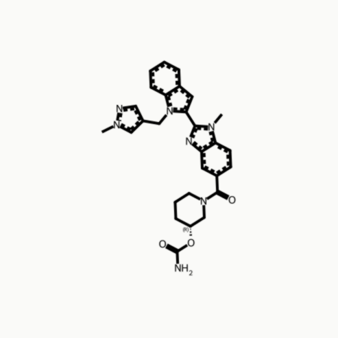 Cn1cc(Cn2c(-c3nc4cc(C(=O)N5CCC[C@@H](OC(N)=O)C5)ccc4n3C)cc3ccccc32)cn1